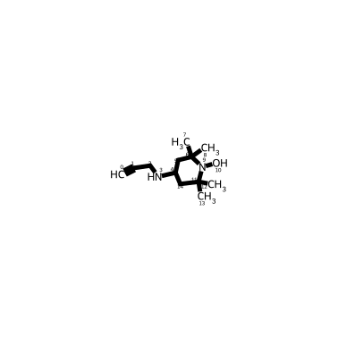 C#CCNC1CC(C)(C)N(O)C(C)(C)C1